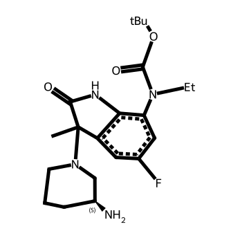 CCN(C(=O)OC(C)(C)C)c1cc(F)cc2c1NC(=O)C2(C)N1CCC[C@H](N)C1